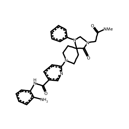 CNC(=O)CN1CN(c2ccccc2)C2(CCN(c3ccc(C(=O)Nc4ccccc4N)cn3)CC2)C1=O